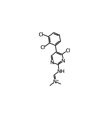 C[N+](C)=CNc1ncc(-c2cccc(Cl)c2Cl)c(Cl)n1